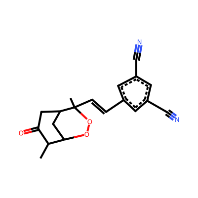 CC1C(=O)CC2CC1OOC2(C)C=Cc1cc(C#N)cc(C#N)c1